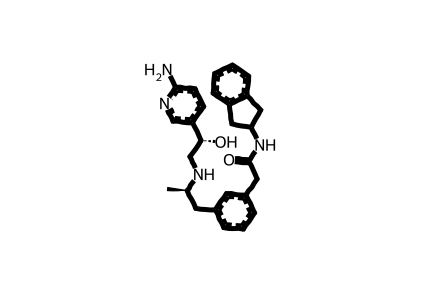 C[C@H](Cc1cccc(CC(=O)NC2Cc3ccccc3C2)c1)NC[C@@H](O)c1ccc(N)nc1